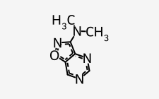 CN(C)c1noc2cncnc12